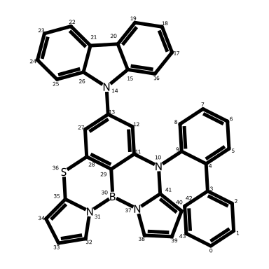 c1ccc(-c2ccccc2N2c3cc(-n4c5ccccc5c5ccccc54)cc4c3B(n3cccc3S4)n3cccc32)cc1